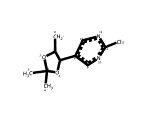 [CH2]C1OC(C)(C)OC1c1cnc(Cl)nc1